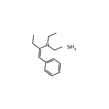 CCC(=Cc1ccccc1)N(CC)CC.[SiH4]